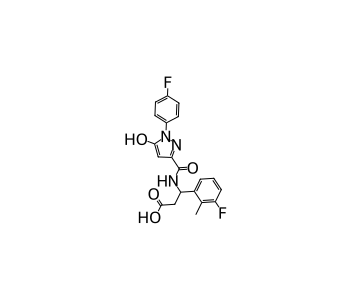 Cc1c(F)cccc1C(CC(=O)O)NC(=O)c1cc(O)n(-c2ccc(F)cc2)n1